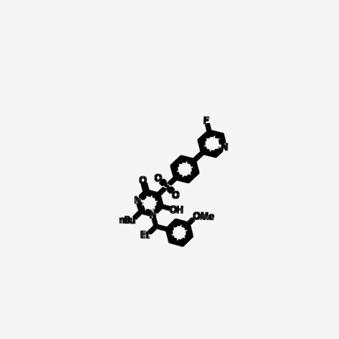 CCCCc1nc(=O)c(S(=O)(=O)c2ccc(-c3cncc(F)c3)cc2)c(O)n1C(CC)c1cccc(OC)c1